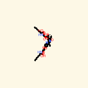 CCCCCCCCC(NC(=O)CCC(=O)Oc1ccc2nc3c(c(CC)c2c1)Cn1c-3cc2c(c1=O)CCCC(=O)[C@@]2(CC)OC(=O)CCC(=O)NC(CCCCCCCC)C(=O)O)C(=O)O